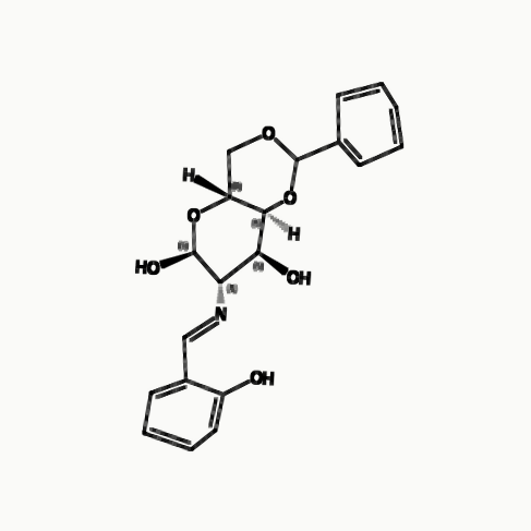 Oc1ccccc1C=N[C@H]1[C@H](O)[C@@H]2OC(c3ccccc3)OC[C@H]2O[C@@H]1O